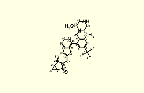 Cc1cc(C(F)(F)F)cc(-c2ncnc3cc(CN4C(=O)C5CC5C4=O)sc23)c1CN1CCNC[C@@H]1C